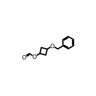 O=COC1CC(OCc2ccccc2)C1